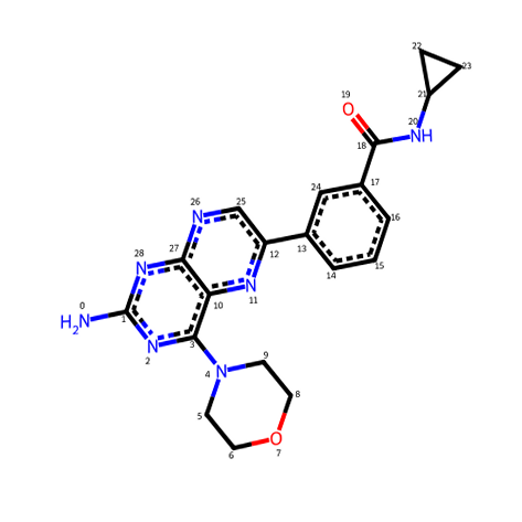 Nc1nc(N2CCOCC2)c2nc(-c3cccc(C(=O)NC4CC4)c3)cnc2n1